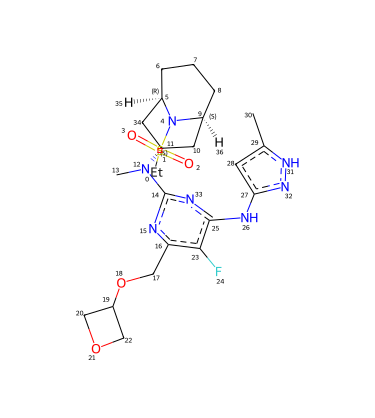 CCS(=O)(=O)N1[C@@H]2CCC[C@H]1C[C@H](N(C)c1nc(COC3COC3)c(F)c(Nc3cc(C)[nH]n3)n1)C2